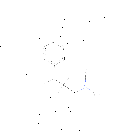 CCCCN(CC(C)(C)C(C)c1ccccc1)C(C)=O